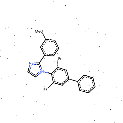 COc1cccc(-c2nccn2-c2c(C(C)C)cc(-c3ccccc3)cc2C(C)C)c1